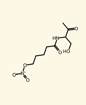 CC(=O)C(CO)NC(=O)CCCCO[N+](=O)[O-]